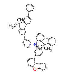 CC1(C)c2ccc(-c3cccc(N(c4cccc(-c5cccc6oc7ccccc7c56)c4)c4cccc5c4C(C)(C)c4ccccc4-5)c3)cc2-c2ccc(-c3ccccc3)cc21